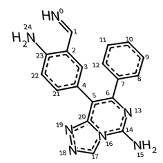 N=Cc1cc(-c2c(-c3ccccc3)nc(N)n3cnnc23)ccc1N